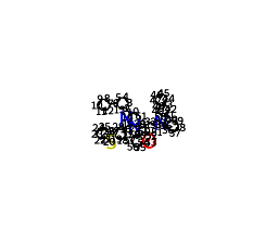 C1=C(c2cccc(-c3ccccc3)c2)N=C(c2ccc3sc4ccccc4c3c2)N=C(c2cc(-n3c4ccccc4c4cc5ccccc5cc43)cc3oc4ccccc4c23)C1